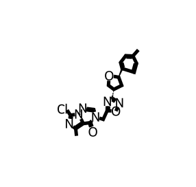 Cc1ccc([C@H]2C[C@H](c3noc(Cn4cnn5c(Cl)nc(C)c5c4=O)n3)CO2)cc1